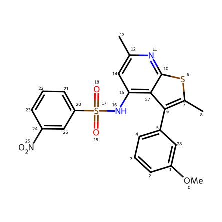 COc1cccc(-c2c(C)sc3nc(C)cc(NS(=O)(=O)c4cccc([N+](=O)[O-])c4)c23)c1